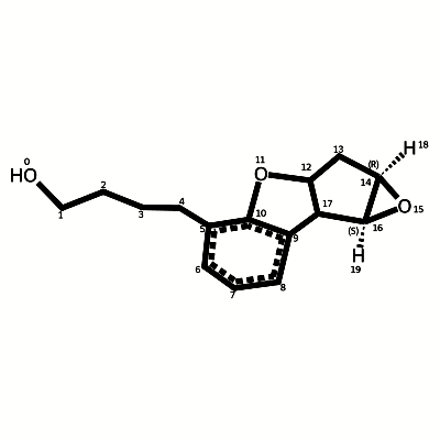 OCCCCc1cccc2c1OC1C[C@H]3O[C@H]3C21